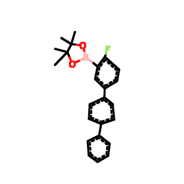 CC1(C)OB(c2cc(-c3ccc(-c4ccccc4)cc3)ccc2F)OC1(C)C